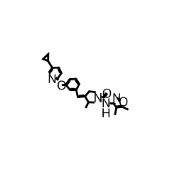 Cc1onc(NC(=O)N2CCC(=Cc3cccc(Oc4ccc(C5CC5)cn4)c3)C(C)C2)c1C